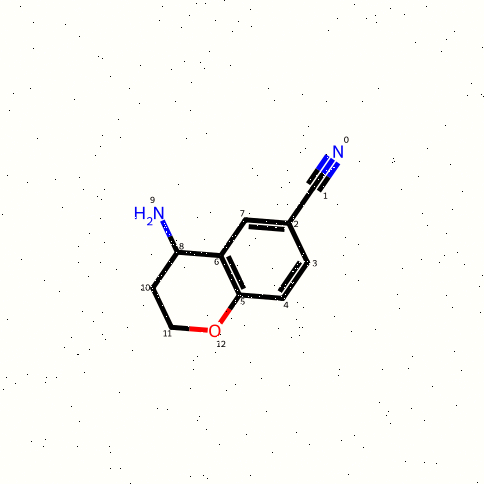 N#Cc1ccc2c(c1)C(N)CCO2